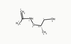 C=C(C)NO[C@@H](C)CO